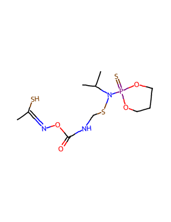 CC(S)=NOC(=O)NCSN(C(C)C)P1(=S)OCCCO1